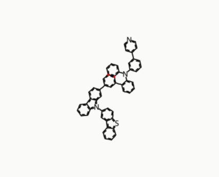 c1ccc(N(c2cccc(-c3ccncc3)c2)c2ccccc2-c2cccc(-c3ccc4c5ccccc5n(-c5ccc6sc7ccccc7c6c5)c4c3)c2)cc1